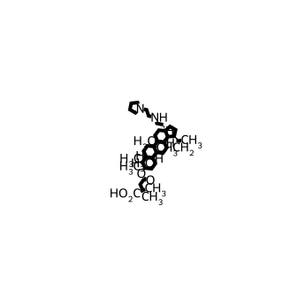 C=C(C)[C@@H]1CC[C@]2(CCNCCN3CCCC3)CC[C@]3(C)[C@H](CC[C@@H]4[C@@]5(C)CC[C@H](OC(=O)CC(C)(C)C(=O)O)C(C)(C)[C@@H]5CC[C@]43C)[C@@H]12